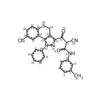 Cc1cccc(NC(=O)C(C#N)C(=O)c2nn(-c3ccccc3)c3c2CSc2ccc(Cl)cc2-3)c1